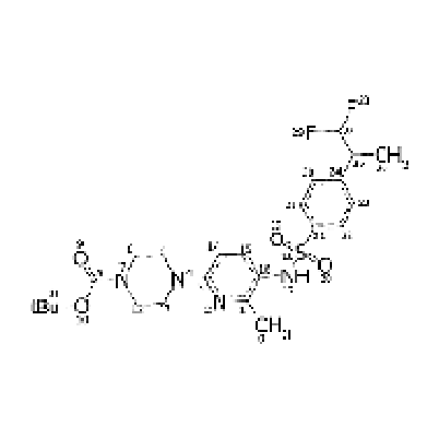 Cc1nc(N2CCN(C(=O)OC(C)(C)C)CC2)ccc1NS(=O)(=O)c1ccc(C(C)C(F)F)cc1